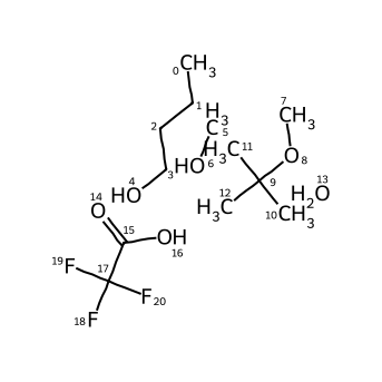 CCCCO.CO.COC(C)(C)C.O.O=C(O)C(F)(F)F